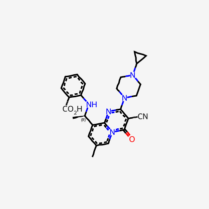 Cc1cc([C@@H](C)Nc2ccccc2C(=O)O)c2nc(N3CCN(C4CC4)CC3)c(C#N)c(=O)n2c1